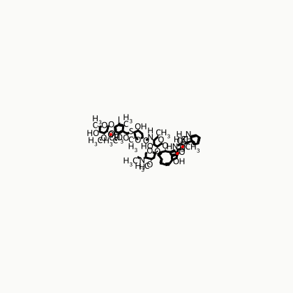 CCN[C@H]1CO[C@@H](O[C@H]2[C@H](O[C@H]3C#C/C=C/C#C[C@]4(O)CC(=O)C(NC(=O)OC)=C3/C4=C\CSSC(C)(C)c3ccccc3N)O[C@H](C)[C@@H](NO[C@H]3C[C@H](O)[C@H](SC(=O)c4c(C)c(I)c(O[C@@H]5O[C@@H](C)[C@H](O)[C@@H](OC)[C@H]5O)c(OC)c4OC)[C@@H](C)O3)[C@@H]2O)C[C@@H]1OC